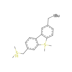 C[SH](C)Cc1ccc2c(c1)S(C)(C)c1ccc(CC(C)(C)C)cc1-2